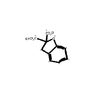 CCOC(=O)C1(C(=O)OCC)Cc2ccccc2O1